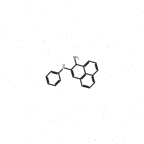 NC1C(Nc2ccccc2)=Cc2cccc3cccc1c23